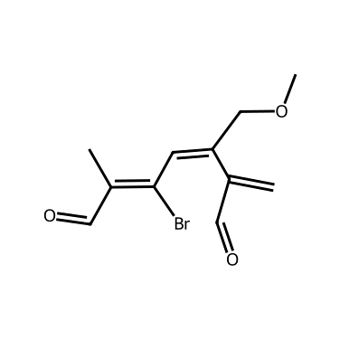 C=C(C=O)/C(=C\C(Br)=C(/C)C=O)COC